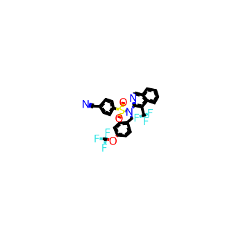 N#Cc1ccc(S(=O)(=O)N(Cc2ccc(OC(F)(F)F)cc2)c2ncc3ccccc3c2C(F)(F)F)cc1